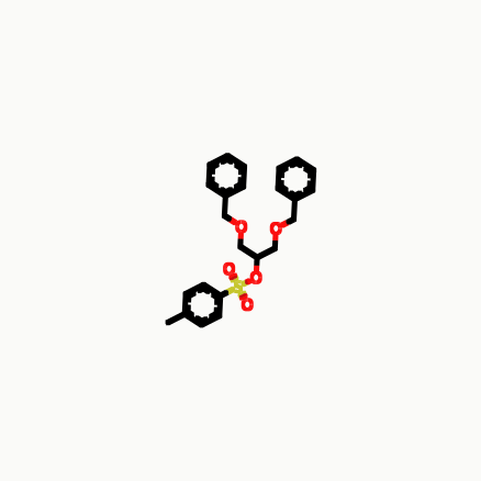 Cc1ccc(S(=O)(=O)OC(COCc2ccccc2)COCc2ccccc2)cc1